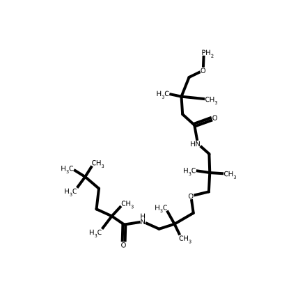 CC(C)(C)CCC(C)(C)C(=O)NCC(C)(C)COCC(C)(C)CNC(=O)CC(C)(C)COP